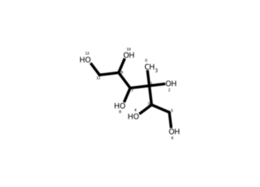 CC(O)(C(O)CO)C(O)C(O)CO